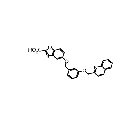 O=C(O)c1nc2cc(OCc3cccc(OCc4ccc5ccccc5n4)c3)ccc2o1